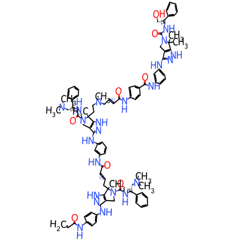 C=CC(=O)Nc1ccc(Nc2n[nH]c3c2CN(C(=O)N[C@H](CN(C)C)c2ccccc2)C3(C)C/C=C/C(=O)Nc2cccc(Nc3n[nH]c4c3CN(C(=O)N[C@H](CN(C)C)c3ccccc3)C4(C)CCN(C)C/C=C/C(=O)Nc3ccc(C(=O)Nc4cccc(Nc5n[nH]c6c5CN(C(=O)N[C@H](CO)c5ccccc5)C6(C)C)c4)cc3)c2)cc1